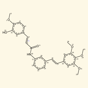 COc1ccc(/C=C/C(=O)Nc2cccc(C=Cc3cc(OC)c(OC)c(OC)c3)c2)cc1O